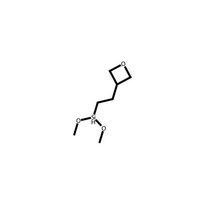 CO[SiH](CCC1COC1)OC